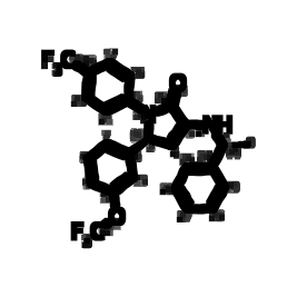 C[C@@H](NC1=C[C@@H](c2cccc(OC(F)(F)F)c2)N(c2ccc(C(F)(F)F)cc2)C1=O)c1ccccc1